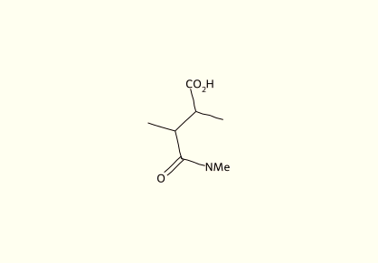 CNC(=O)C(C)C(C)C(=O)O